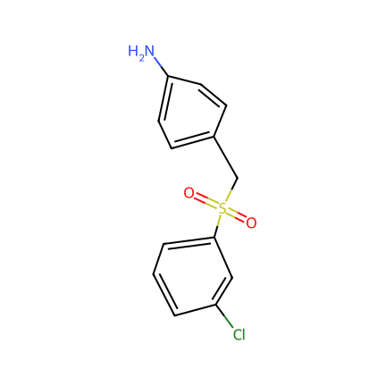 Nc1ccc(CS(=O)(=O)c2cccc(Cl)c2)cc1